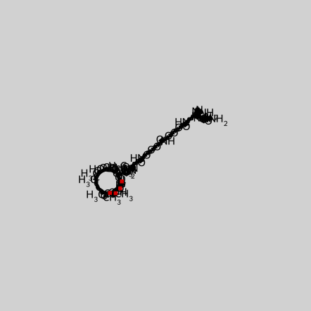 CO[C@H]1C[C@@H]2CC[C@@H](C)[C@@](O)(O2)C(=O)C(=O)N2CCCC[C@H]2C(=O)O[C@H]([C@H](N)C[C@@H]2CC[C@H](n3cc(CCCC(=O)NCCOCCOCCOCCC(=O)NCCOCCOCCOCCC(=O)NCCCCn4nc(-c5ccc6oc(N)nc6c5)c5c(N)ncnc54)nn3)[C@H](OC)C2)C[C@@H](OC)[C@H](C)/C=C(\C)[C@@H](O)[C@@H](O)C(=O)[C@H](C)C[C@H](C)/C=C/C=C/C=C/1C